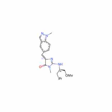 COC[C@@H](CC(C)C)NC1=N/C(=C\c2ccc3c(cnn3C)c2)C(=O)N1C